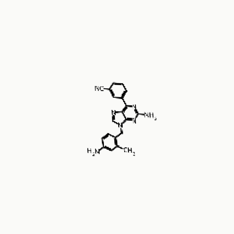 Cc1cc(N)ccc1Cn1cnc2c(-c3cccc(C#N)c3)nc(N)nc21